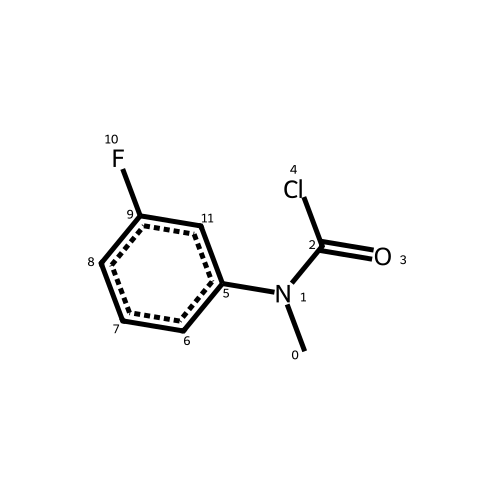 CN(C(=O)Cl)c1cccc(F)c1